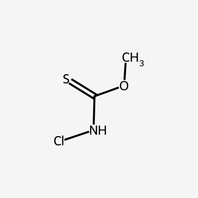 COC(=S)NCl